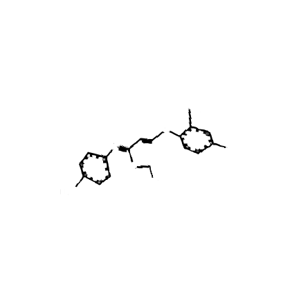 Cc1ccc(N=C(C=CSc2ccc(C)cc2C)SCC(C)C)cc1